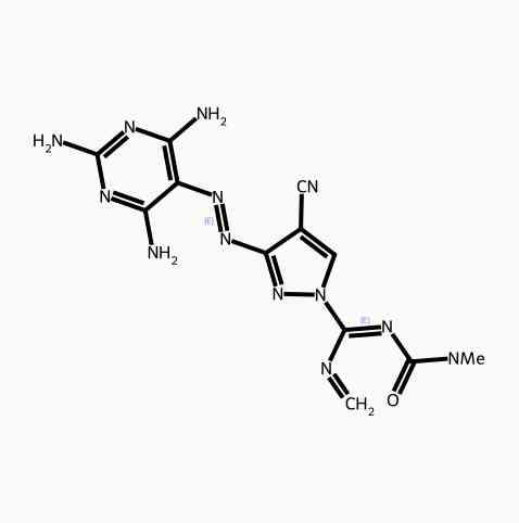 C=N/C(=N\C(=O)NC)n1cc(C#N)c(/N=N/c2c(N)nc(N)nc2N)n1